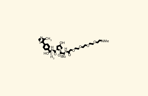 CNCCOCCOCCOCCOCC(=O)N[C@H](C(=O)N1C[C@H](O)C[C@H]1C(=O)N[C@](C)(O)c1ccc(-c2scnc2C)cc1)C(C)(C)C